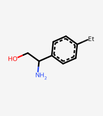 CCc1ccc(C(N)CO)cc1